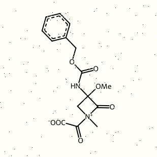 COC1(NC(=O)OCc2ccccc2)C[N+](C)(C(=O)C(=O)[O-])C1=O